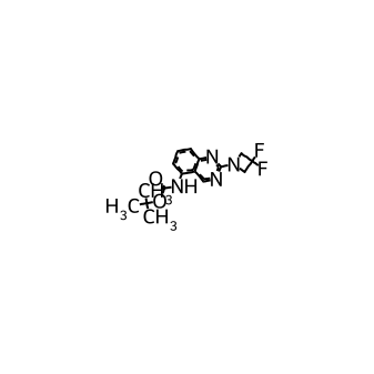 CC(C)(C)OC(=O)Nc1cccc2nc(N3CC(F)(F)C3)ncc12